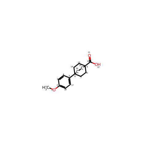 COc1ccc(C23CCC(C(=O)O)(CC2)CC3)cc1